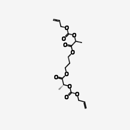 C=CCOC(=O)OC(C)C(=O)OCCCOC(=O)[C@@H](C)OC(=O)OCC=C